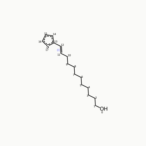 OCCCCCCCCCC/C=C/c1cccs1